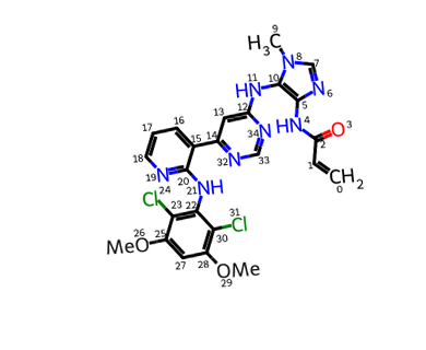 C=CC(=O)Nc1ncn(C)c1Nc1cc(-c2cccnc2Nc2c(Cl)c(OC)cc(OC)c2Cl)ncn1